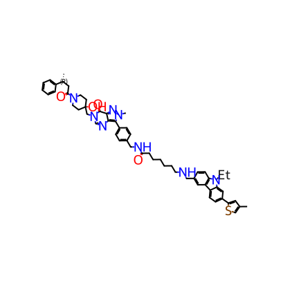 CCn1c2ccc(CNCCCCCCC(=O)NCc3ccc(-c4c5ncn(CC6(O)CCN(C(=O)C[C@@H](C)c7ccccc7)CC6)c(=O)c5nn4C)cc3)cc2c2ccc(-c3cc(C)cs3)cc21